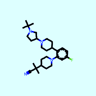 CC(C)(C#N)C1CCN(c2cc(F)ccc2C2CCN(C3CCN(C(C)(C)C)C3)CC2)CC1